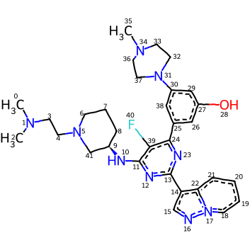 CN(C)CCN1CCC[C@@H](Nc2nc(-c3cnn4ccccc34)nc(-c3cc(O)cc(N4CCN(C)CC4)c3)c2F)C1